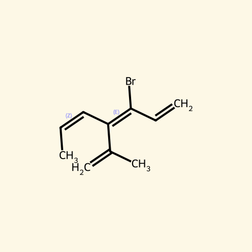 C=C/C(Br)=C(/C=C\C)C(=C)C